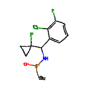 CC(C)(C)[S+]([O-])NC(c1cccc(F)c1Cl)C1(F)CC1